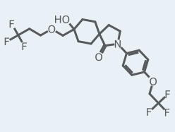 O=C1N(c2ccc(OCC(F)(F)F)cc2)CCC12CCC(O)(COCCC(F)(F)F)CC2